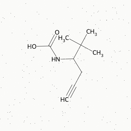 C#CCC(NC(=O)O)C(C)(C)C